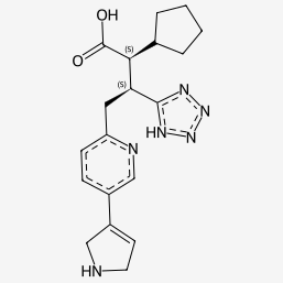 O=C(O)[C@@H](C1CCCC1)[C@H](Cc1ccc(C2=CCNC2)cn1)c1nnn[nH]1